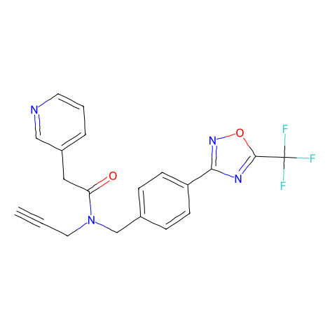 C#CCN(Cc1ccc(-c2noc(C(F)(F)F)n2)cc1)C(=O)Cc1cccnc1